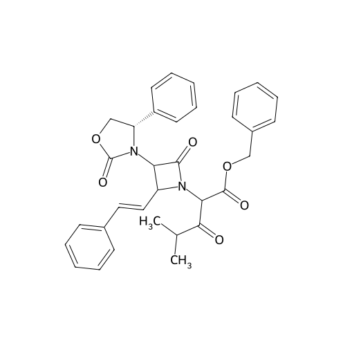 CC(C)C(=O)C(C(=O)OCc1ccccc1)N1C(=O)C(N2C(=O)OC[C@@H]2c2ccccc2)C1C=Cc1ccccc1